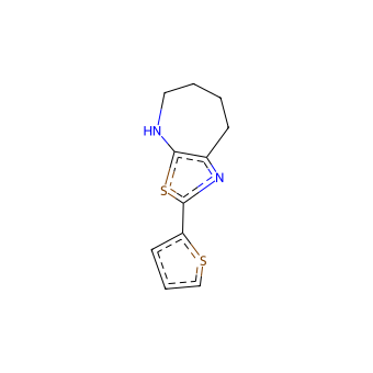 c1csc(-c2nc3c(s2)NCCCC3)c1